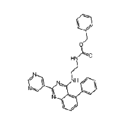 O=C(NCCNc1nc(-c2cncnc2)nc2cccc(-c3ccccc3)c12)OCc1ccccc1